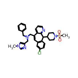 Cn1cnc(CN(CC2=Cc3cc(Cl)ccc3C(C3CCN(S(C)(=O)=O)CC3)c3ncccc32)Cc2ccccc2)c1